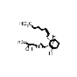 CCCCC(O)CNCC[C@H]1[C@H](C/C=C\CCCC(=O)O)[C@H]2CC[C@@H]1O2